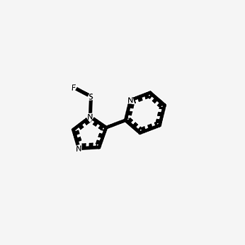 FSn1cncc1-c1ccccn1